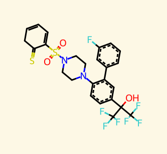 O=S(=O)(C1=CC=CCC1=S)N1CCN(c2ccc(C(O)(C(F)(F)F)C(F)(F)F)cc2-c2cccc(F)c2)CC1